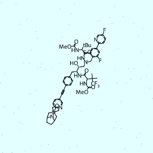 COC(=O)NC(C(=O)N[C@@H](Cc1ccc(C#Cc2ccc(N3CC4CCC(C3)N4C3COC3)nc2)cc1)[C@@H](O)CN(Cc1c(F)cc(-c2ccc(F)cn2)cc1F)NC(=O)[C@@H](NC(=O)OC)C(C)(C)C)C(C)(C)C(F)(F)F